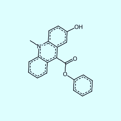 C[n+]1c2ccccc2c(C(=O)Oc2ccccc2)c2cc(O)ccc21